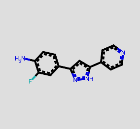 Nc1ccc(-c2cc(-c3ccncc3)[nH]n2)cc1F